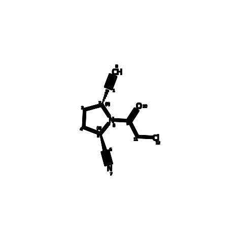 C#C[C@H]1CC[C@H](C#N)N1C(=O)CCl